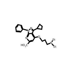 CCN(CC)CCCOc1cc(C(=O)O)nc2c1c(C1CCC1)nn2-c1ccccc1